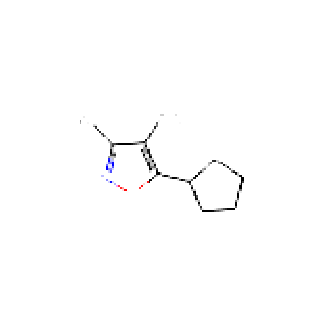 CC(=O)c1noc(C2CCCC2)c1[N+](=O)[O-]